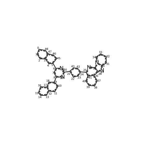 c1ccc2cc(-c3cc(-c4ccc5ccccc5c4)nc(-c4ccc(-c5nc6c(nc7ccccn76)c6ccccc56)cc4)n3)ccc2c1